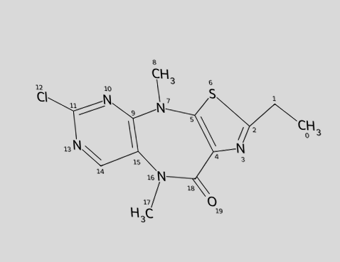 CCc1nc2c(s1)N(C)c1nc(Cl)ncc1N(C)C2=O